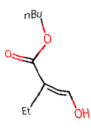 CCCCOC(=O)C(=CO)CC